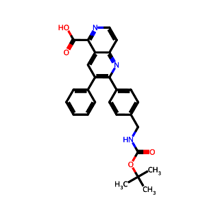 CC(C)(C)OC(=O)NCc1ccc(-c2nc3ccnc(C(=O)O)c3cc2-c2ccccc2)cc1